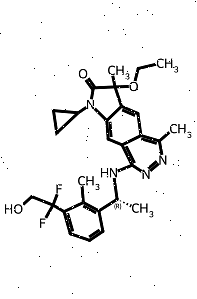 CCOC1(C)C(=O)N(C2CC2)c2cc3c(N[C@H](C)c4cccc(C(F)(F)CO)c4C)nnc(C)c3cc21